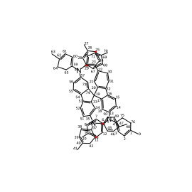 CC1=CC=C(N(c2ccc(C)cc2)c2ccc3c(c2)C2(c4cc(-c5ccc(C)cc5)ccc4-3)c3cc(N(C4=CC=C(C)CC4)c4ccc(C)cc4)ccc3-c3ccc(N(C4=CC=C(C)CC4)c4ccc(C)cc4)cc32)CC1